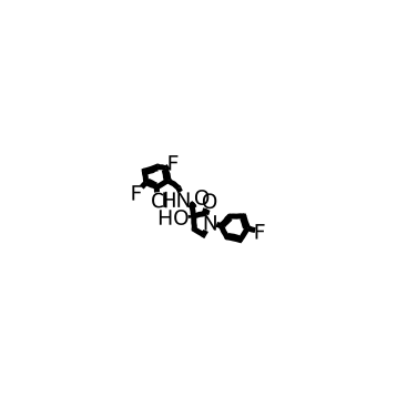 O=C(NCc1c(F)ccc(F)c1Cl)[C@@]1(O)CCN(c2ccc(F)cc2)C1=O